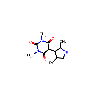 CC(C)C1CNC(C)C1C1C(=O)N(C)C(=O)N(C)C1=O